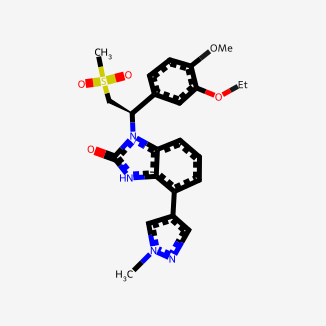 CCOc1cc([C@H](CS(C)(=O)=O)n2c(=O)[nH]c3c(-c4cnn(C)c4)cccc32)ccc1OC